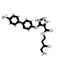 CC(C)CC(=O)CCOC(=O)c1nn[nH]c1Oc1ccc(-c2ccc(C(C)C)cc2)cc1